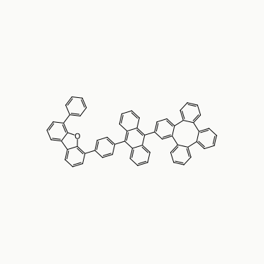 c1ccc(-c2cccc3c2oc2c(-c4ccc(-c5c6ccccc6c(-c6ccc7c(c6)-c6ccccc6-c6ccccc6-c6ccccc6-7)c6ccccc56)cc4)cccc23)cc1